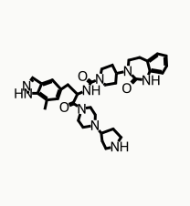 Cc1cc(CC(NC(=O)N2CCC(N3CCc4ccccc4NC3=O)CC2)C(=O)N2CCN(C3CCNCC3)CC2)cc2cn[nH]c12